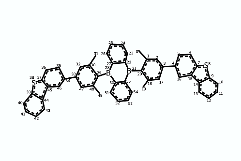 Cc1cc(-c2ccc3sc4ccccc4c3c2)cc(C)c1B1c2ccccc2B(c2c(C)cc(-c3ccc4sc5ccccc5c4c3)cc2C)c2ccccc21